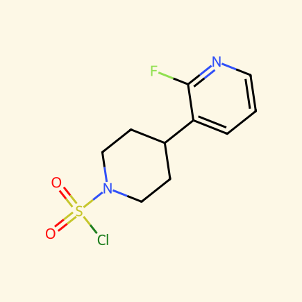 O=S(=O)(Cl)N1CCC(c2cccnc2F)CC1